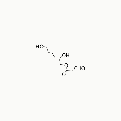 O=CCC(=O)OCC(O)CCCCO